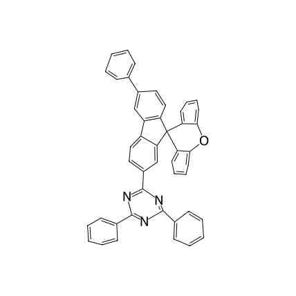 c1ccc(-c2ccc3c(c2)-c2ccc(-c4nc(-c5ccccc5)nc(-c5ccccc5)n4)cc2C32c3ccccc3Oc3ccccc32)cc1